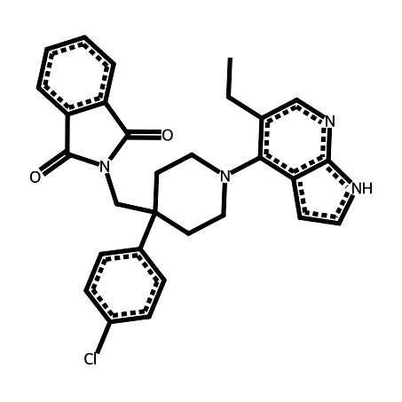 CCc1cnc2[nH]ccc2c1N1CCC(CN2C(=O)c3ccccc3C2=O)(c2ccc(Cl)cc2)CC1